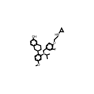 COc1ccc(C2CCc3cc(O)ccc3C2)c(N(Cc2ccc(OCCNC3CC3)c(F)c2)C(C)C)c1